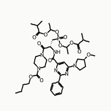 CCCCOC(=O)N1CCN(C(=O)[C@H](CP(=O)(OC(C)OC(=O)C(C)C)OC(C)OC(=O)C(C)C)NC(=O)c2cc(N3CC[C@H](OC)C3)nc(-c3ccccc3)n2)CC1